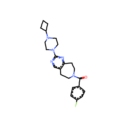 O=C(c1ccc(F)cc1)N1CCc2cnc(N3CCN(C4CCC4)CC3)nc2CC1